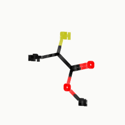 CCCC(S)C(=O)OCC